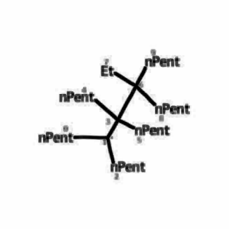 CCCCC[C](CCCCC)C(CCCCC)(CCCCC)C(CC)(CCCCC)CCCCC